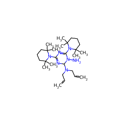 C=CCN(CC=C)C1N=C(N2C(C)(C)CCCC2(C)C)N=C(N2C(C)(C)CCCC2(C)C)N1N